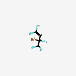 FC(F)=CC(F)(Br)C(F)F